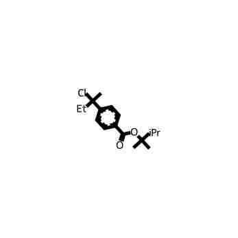 CCC(C)(Cl)c1ccc(C(=O)OC(C)(C)C(C)C)cc1